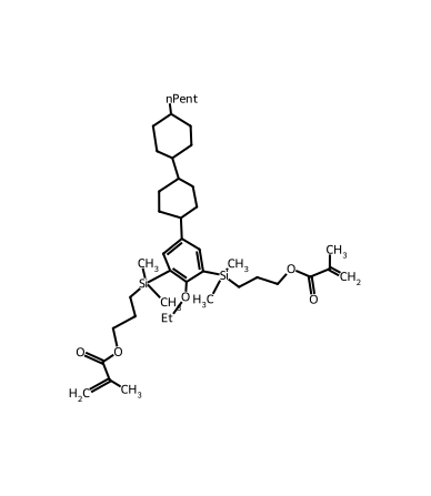 C=C(C)C(=O)OCCC[Si](C)(C)c1cc(C2CCC(C3CCC(CCCCC)CC3)CC2)cc([Si](C)(C)CCCOC(=O)C(=C)C)c1OCC